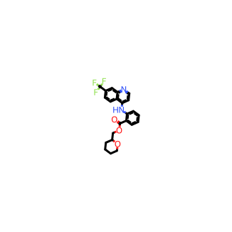 O=C(OCC1CCCCO1)c1ccccc1Nc1ccnc2cc(C(F)(F)F)ccc12